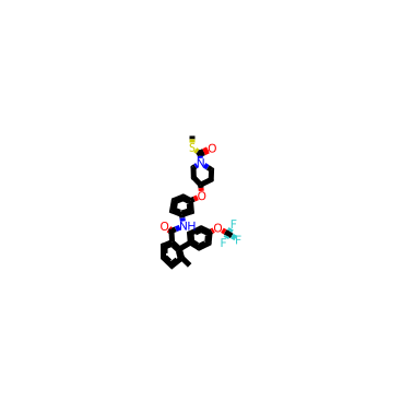 CSC(=O)N1CCC(Oc2cccc(NC(=O)c3cccc(C)c3-c3ccc(OC(F)(F)F)cc3)c2)CC1